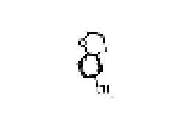 Cc1ccc2c(c1)SCCO2